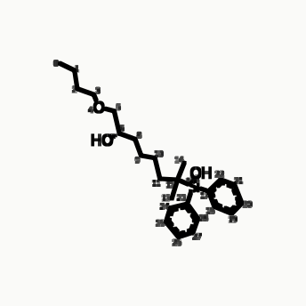 CCCCOC[C@@H](O)CCCCC(C)(C)[Si](O)(c1ccccc1)c1ccccc1